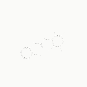 O=C(Nc1ccccc1Br)Nc1c(O)c(F)cc(F)c1F